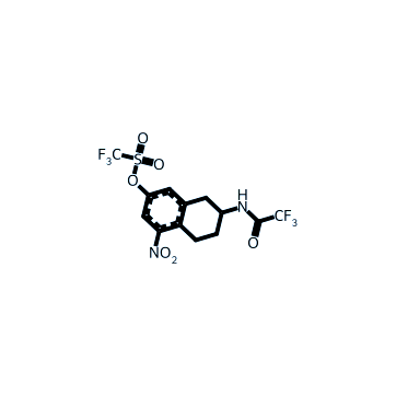 O=C(NC1CCc2c(cc(OS(=O)(=O)C(F)(F)F)cc2[N+](=O)[O-])C1)C(F)(F)F